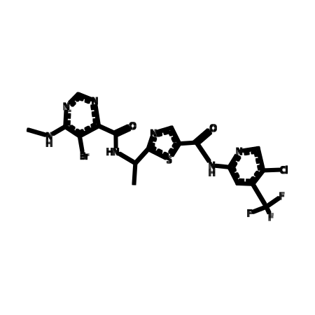 CNc1ncnc(C(=O)NC(C)c2ncc(C(=O)Nc3cc(C(F)(F)F)c(Cl)cn3)s2)c1Br